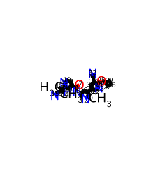 Cc1ncc(NC(=O)c2ccnc(C(C)(C)C#N)c2)cc1-c1cnc(OC2CCC2)c(C#N)c1